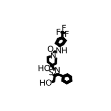 O=C(Nc1ccc(C(F)(F)F)cc1)N1CCC(O)(c2nc(-c3ccccc3)c(CO)s2)CC1